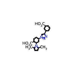 Cc1ccc(C)n1-c1cc(-n2cc(-c3cccc(C(=O)O)c3)nn2)ccc1C(=O)O